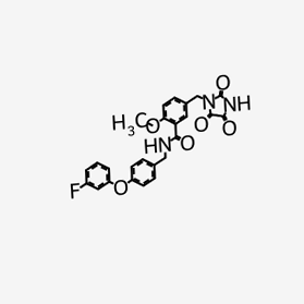 COc1ccc(CN2C(=O)NC(=O)C2=O)cc1C(=O)NCc1ccc(Oc2cccc(F)c2)cc1